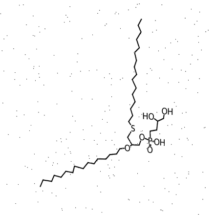 CCCCCCCCCCCCCCCCOC(COP(=O)(O)CCC(O)CO)CSCCCCCCCCCCCCCCCC